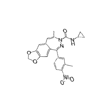 CC1=Cc2cc3c(cc2C(c2ccc([N+](=O)[O-])c(C)c2)=NN1C(=O)NC1CC1)OCO3